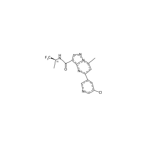 Cc1cc(-c2cncc(Cl)c2)nc2c(C(=O)N[C@@H](C)C(F)(F)F)cnn12